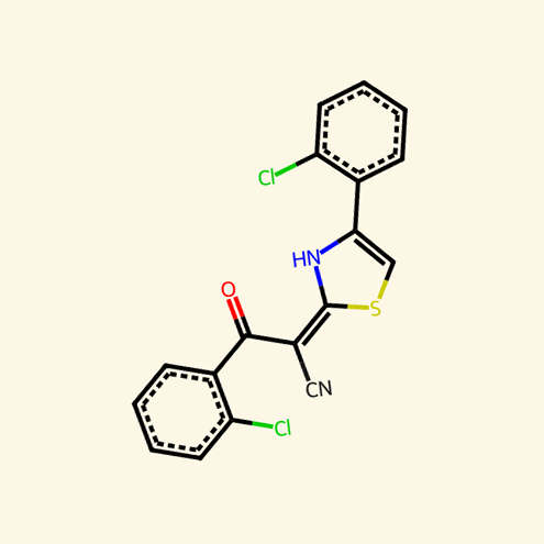 N#C/C(C(=O)c1ccccc1Cl)=C1/NC(c2ccccc2Cl)=CS1